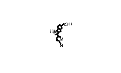 N#Cc1ccc(-c2n[nH]c3c2Cc2cc(CO)ccc2-3)cn1